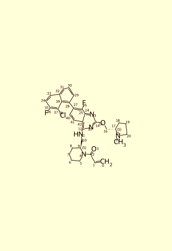 C=CC(=O)N1CCCC[C@H]1CNc1nc(OC[C@@H]2CCCN2C)nc2c(F)c(-c3cccc4ccc(F)c(Cl)c34)ccc12